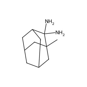 CC12CC3CC(CC(C3)C1(N)N)C2